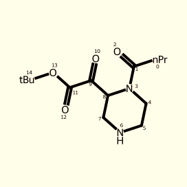 CCCC(=O)N1CCNCC1C(=O)C(=O)OC(C)(C)C